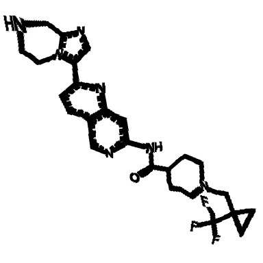 O=C(Nc1cc2nc(-c3cnc4n3CCNC4)ccc2cn1)C1CCN(CC2(C(F)(F)F)CC2)CC1